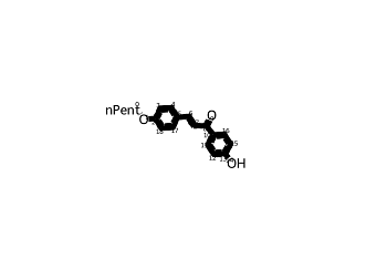 CCCCCOc1ccc(C=CC(=O)c2ccc(O)cc2)cc1